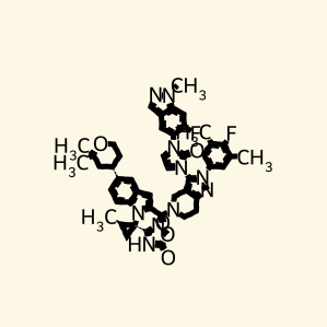 Cc1cc(-n2nc3c(c2-n2ccn(-c4cc5cnn(C)c5cc4F)c2=O)CN(C(=O)c2cc4cc([C@H]5CCOC(C)(C)C5)ccc4n2[C@@]2(c4noc(=O)[nH]4)C[C@@H]2C)CC3)cc(C)c1F